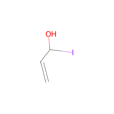 C=CC(O)I